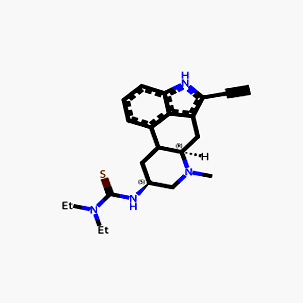 C#Cc1[nH]c2cccc3c2c1C[C@@H]1C3C[C@H](NC(=S)N(CC)CC)CN1C